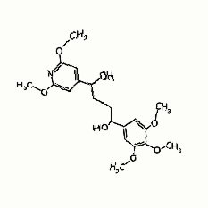 COc1cc(C(O)CCC(O)c2cc(OC)c(OC)c(OC)c2)cc(OC)n1